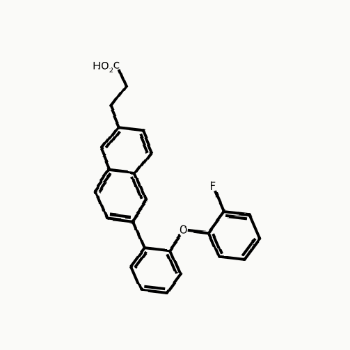 O=C(O)CCc1ccc2cc(-c3ccccc3Oc3ccccc3F)ccc2c1